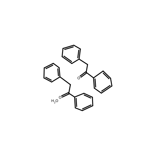 O.O=C(Cc1ccccc1)c1ccccc1.O=C(Cc1ccccc1)c1ccccc1